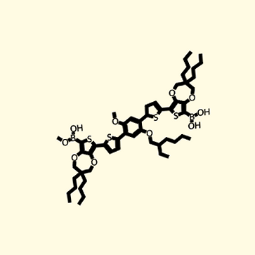 CCCCC(CC)COc1cc(-c2ccc(-c3sc(B(O)OC)c4c3OCC(CCCC)(CCCC)CO4)s2)c(OC)cc1C1CC=C(c2sc(B(O)O)c3c2OCC(CCCC)(CCCC)CO3)S1